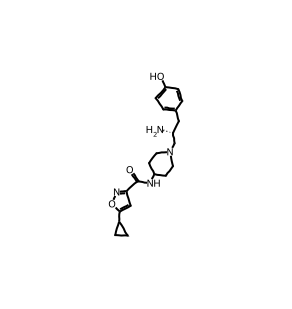 N[C@H](Cc1ccc(O)cc1)CN1CCC(NC(=O)c2cc(C3CC3)on2)CC1